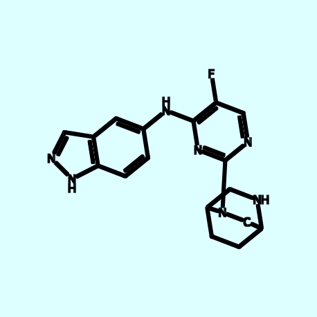 Fc1cnc(N2CC3CCC2CN3)nc1Nc1ccc2[nH]ncc2c1